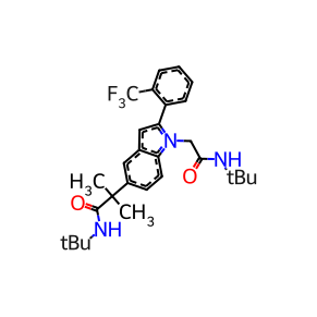 CC(C)(C)NC(=O)Cn1c(-c2ccccc2C(F)(F)F)cc2cc(C(C)(C)C(=O)NC(C)(C)C)ccc21